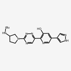 CC(C)(C)NC1CCN(c2ncc(-c3ncc(-c4cn[nH]c4)cc3O)nn2)C1